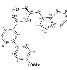 COc1ccc(-c2cc(C(=O)N[C@@H](CO)Cc3c[nH]c4ccccc34)ncn2)cc1